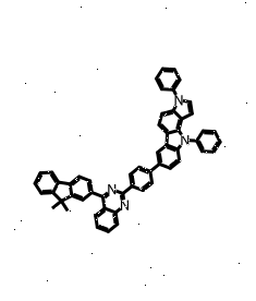 CC1(C)c2ccccc2-c2ccc(-c3nc(-c4ccc(-c5ccc6c(c5)c5ccc7c(ccn7-c7ccccc7)c5n6-c5ccccc5)cc4)nc4ccccc34)cc21